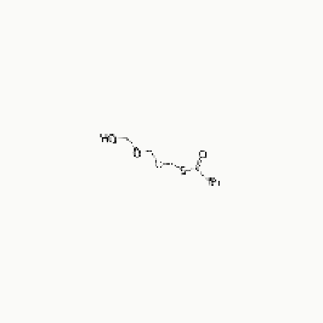 CC(C)C(=O)SCOCOCO